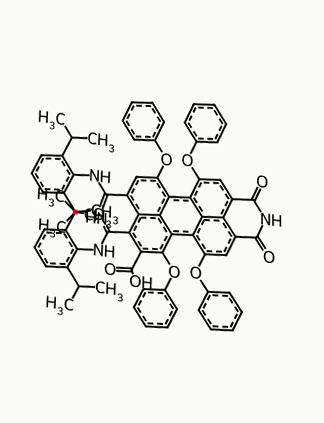 CC(C)c1cccc(C(C)C)c1NC(=N)c1c(C(=O)O)c(Oc2ccccc2)c2c3c(Oc4ccccc4)cc4c5c(cc(Oc6ccccc6)c(c6c(Oc7ccccc7)cc(C(=O)Nc7c(C(C)C)cccc7C(C)C)c1c62)c53)C(=O)NC4=O